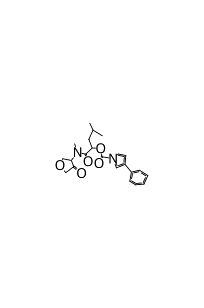 CC(C)CC(OC(=O)n1ccc(-c2ccccc2)c1)C(=O)N(C)C1COCC1=O